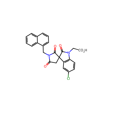 O=C(O)CN1C(=O)C2(CC(=O)N(Cc3cccc4ccccc34)C2=O)c2cc(Cl)ccc21